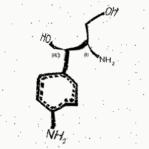 Nc1ccc([C@@H](O)[C@H](N)CO)cc1